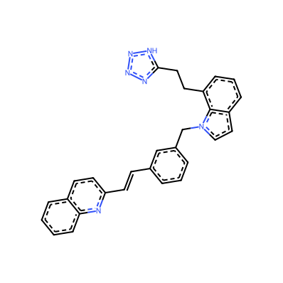 C(=C\c1ccc2ccccc2n1)/c1cccc(Cn2ccc3cccc(CCc4nnn[nH]4)c32)c1